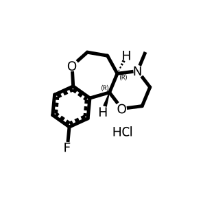 CN1CCO[C@@H]2c3cc(F)ccc3OCC[C@H]21.Cl